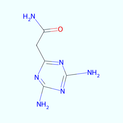 NC(=O)Cc1nc(N)nc(N)n1